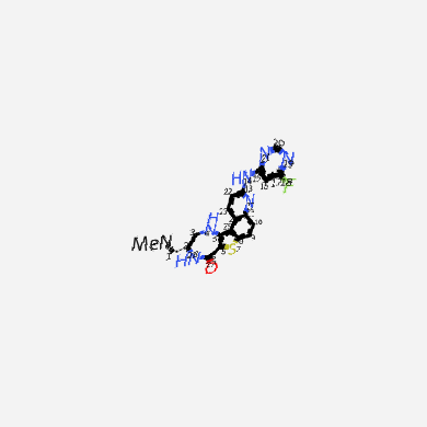 CNC[C@@H]1CNc2c(sc3ccc4nc(Nc5cc(F)ncn5)ccc4c23)C(=O)N1